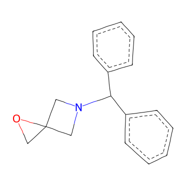 c1ccc(C(c2ccccc2)N2CC3(CO3)C2)cc1